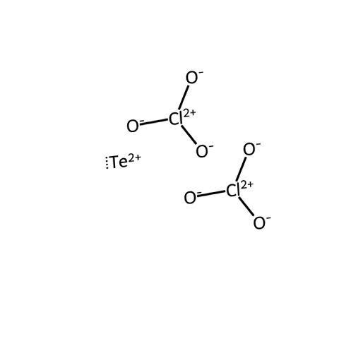 [O-][Cl+2]([O-])[O-].[O-][Cl+2]([O-])[O-].[Te+2]